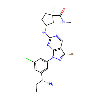 CC[C@@H](N)c1cc(Cl)cc(-n2nc(Br)c3cnc(N[C@@H]4CC[C@@](C)(C(=O)NC)C4)nc32)c1